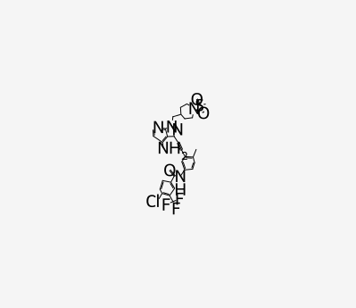 Cc1ccc(NC(=O)c2ccc(Cl)c(C(F)(F)F)c2)cc1C#Cc1nn(CC2CCN(S(C)(=O)=O)CC2)c2nccc(N)c12